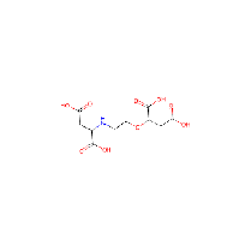 O=C(O)CC(NCCOC(CC(=O)O)C(=O)O)C(=O)O